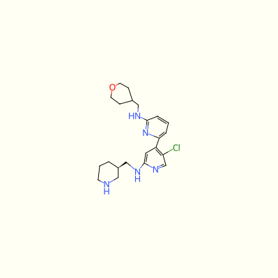 Clc1cnc(NC[C@@H]2CCCNC2)cc1-c1cccc(NCC2CCOCC2)n1